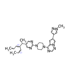 C=C/C=C(\C=C/C)C(C)c1cnc(N2CCN(c3ncnn4cc(-c5cnn(C)c5)cc34)CC2)nc1